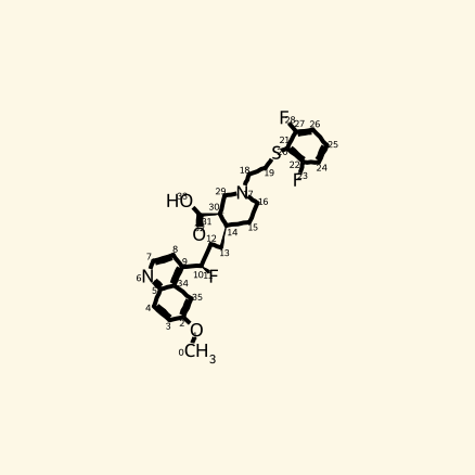 COc1ccc2nccc([C@H](F)CC[C@@H]3CCN(CCSc4c(F)cccc4F)C[C@@H]3C(=O)O)c2c1